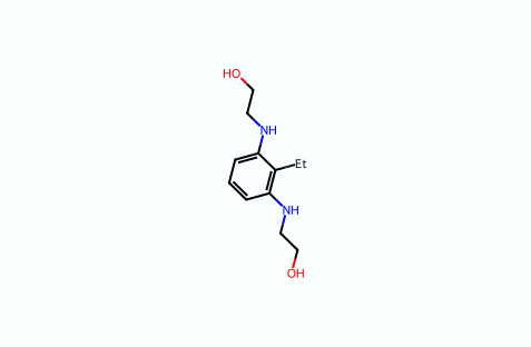 CCc1c(NCCO)cccc1NCCO